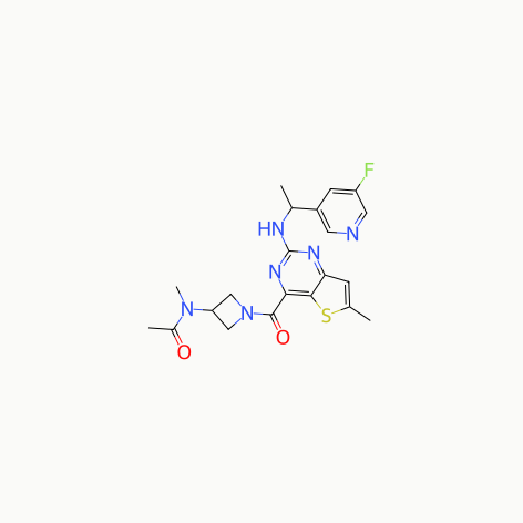 CC(=O)N(C)C1CN(C(=O)c2nc(NC(C)c3cncc(F)c3)nc3cc(C)sc23)C1